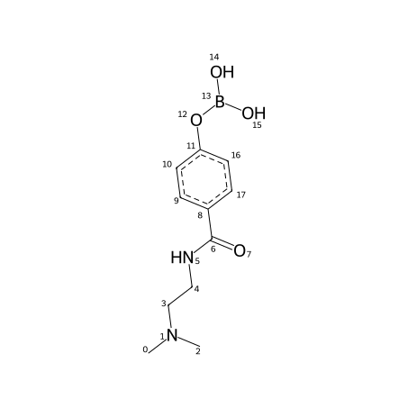 CN(C)CCNC(=O)c1ccc(OB(O)O)cc1